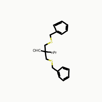 CCCC(C=O)(CSCc1ccccc1)CSCc1ccccc1